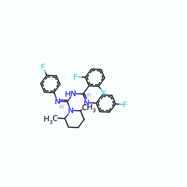 CC1CCCC(C)N1/C(=N/c1ccc(F)cc1)N/C(=N/c1ccc(F)cc1)c1c(F)cccc1F